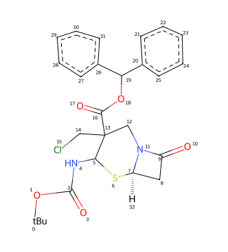 CC(C)(C)OC(=O)NC1S[C@@H]2CC(=O)N2CC1(CCl)C(=O)OC(c1ccccc1)c1ccccc1